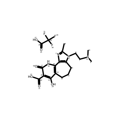 Cc1nc2c(n1CCN(C)C)CCCc1c-2[nH]c(=O)c(C(=O)O)c1O.O=C(O)C(F)(F)F